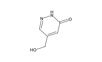 O=c1cc(CO)cn[nH]1